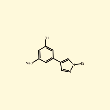 CCn1cc(-c2cc(S)cc(OC)c2)cn1